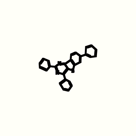 c1ccc(-c2ccc3c(c2)sc2c(-c4ccccc4)nc(-c4ccccc4)nc23)cc1